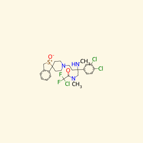 CNC(CCN1CCC2(CC1)c1ccccc1C[S+]2[O-])(CN(C)C(=O)C(F)(F)Cl)c1ccc(Cl)c(Cl)c1